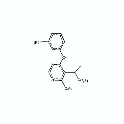 CCOC(=O)C(C)c1c(OC)ncnc1Oc1cccc(C(C)C)c1